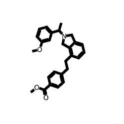 COC(=O)c1ccc(CCc2cccc3c2CN(C(C)c2cccc(OC)c2)C3)cc1